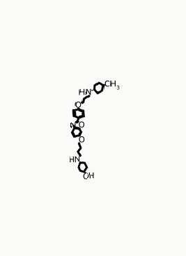 C[C@H]1CC[C@H](NCCCOc2ccc(-c3nc4ccc(OCCCCN[C@H]5CC[C@H](O)CC5)cc4o3)cc2)CC1